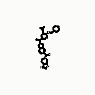 O=C(c1cnc(OCC2CCOCC2)c(C2CC2)c1)N1Cc2ccc(C(=O)N3CCc4[nH]nnc4C3)cc2C1